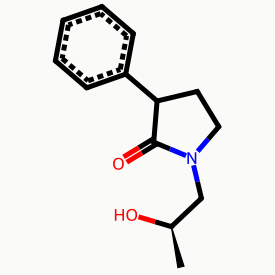 C[C@@H](O)CN1CCC(c2ccccc2)C1=O